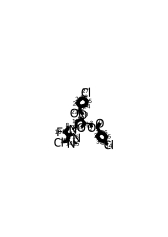 O=C(OC[C@H]1O[C@@H](n2cc(F)c3c(Cl)ncnc32)C[C@@H]1OC(=O)c1ccc(Cl)cc1)c1ccc(Cl)cc1